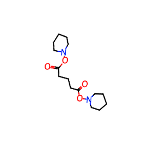 O=C(CCCC(=O)ON1CCCCC1)ON1CCCCC1